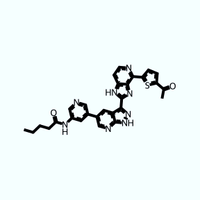 CCCCC(=O)Nc1cncc(-c2cnc3[nH]nc(-c4nc5c(-c6ccc(C(C)=O)s6)nccc5[nH]4)c3c2)c1